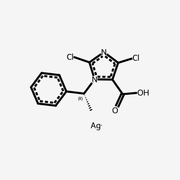 C[C@H](c1ccccc1)n1c(Cl)nc(Cl)c1C(=O)O.[Ag]